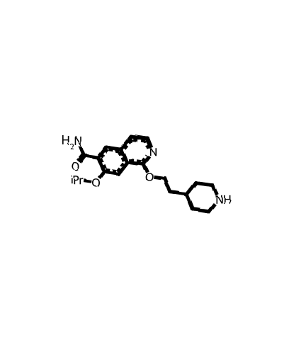 CC(C)Oc1cc2c(OCCC3CCNCC3)nccc2cc1C(N)=O